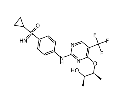 C[C@H](Oc1nc(Nc2ccc(S(=N)(=O)C3CC3)cc2)ncc1C(F)(F)F)[C@@H](C)O